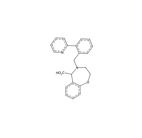 O=C(O)C1c2ccccc2OCCN1Cc1ccccc1-c1ccccn1